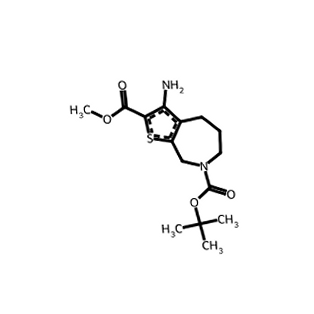 COC(=O)c1sc2c(c1N)CCCN(C(=O)OC(C)(C)C)C2